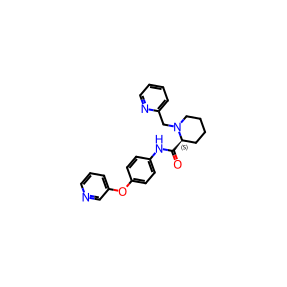 O=C(Nc1ccc(Oc2cccnc2)cc1)[C@@H]1CCCCN1Cc1ccccn1